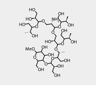 COC1OC(CO)C(OC(OC(CO)[C@@H](C)OC(OC(CO)[C@@H](C)O)[C@@H](O)COC(OC(CO)[C@@H](C)O)[C@@H](N)COC(OC(CO)[C@@H](C)O)[C@@H](O)CO)[C@@H](O)CO)C(O)C1O